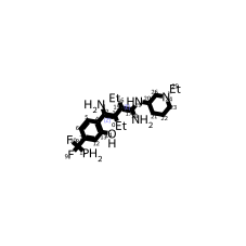 CCC(=C(/N)c1ccc(C(F)(F)P)cc1O)/C(CC)=C(\N)NC1CCCN(CC)C1